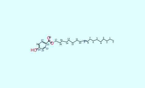 CCCCCCCCC=CCCCCCCCCOC(=O)c1ccc(O)cc1